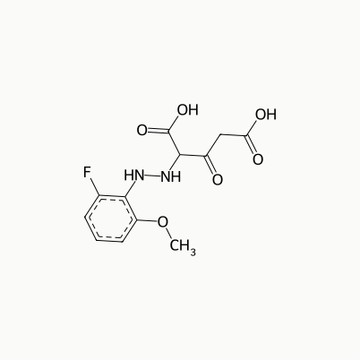 COc1cccc(F)c1NNC(C(=O)O)C(=O)CC(=O)O